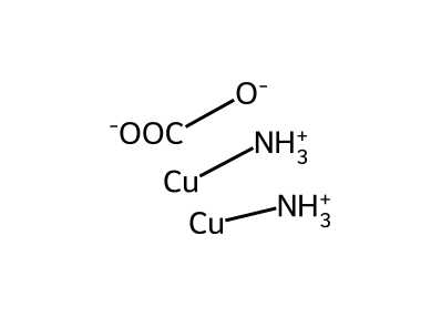 O=C([O-])[O-].[NH3+][Cu].[NH3+][Cu]